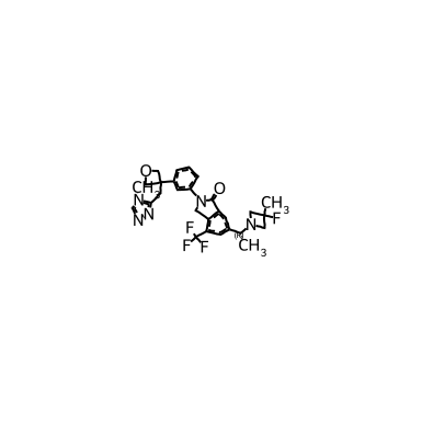 C[C@H](c1cc2c(c(C(F)(F)F)c1)CN(c1cccc(C3(Cc4nncn4C)COC3)c1)C2=O)N1CC(C)(F)C1